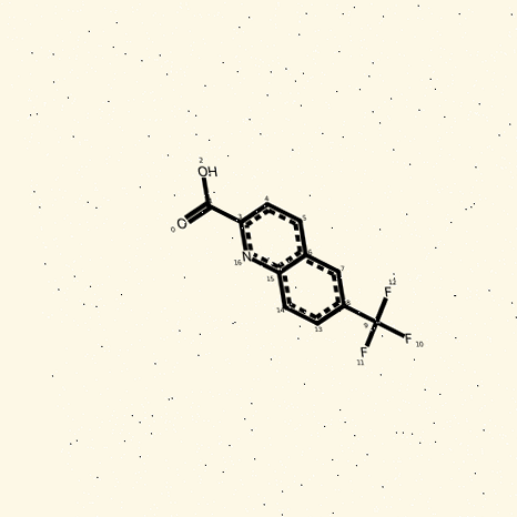 O=C(O)c1ccc2cc(C(F)(F)F)ccc2n1